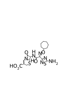 Nc1nc(C(=NOC2CCCCCC2)C(=O)NC2C(=O)N3C=C(C(=O)O)CS[C@H]23)ns1